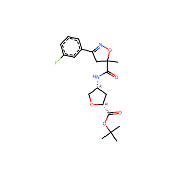 CC(C)(C)OC(=O)[C@H]1C[C@@H](NC(=O)C2(C)CC(c3cccc(F)c3)=NO2)CO1